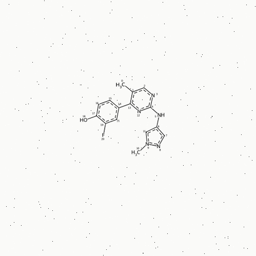 Cc1cnc(Nc2cnn(C)c2)nc1-c1ccc(O)c(F)c1